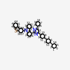 c1ccc(-c2ccc(-c3ccc(-c4cc(-c5ccccc5)nc(-c5cccc6c5c5ccccc5n6-c5ccc6sc7ccccc7c6c5)n4)cc3)cc2)cc1